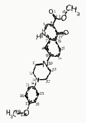 COC(=O)c1c[nH]c2cc(N3CCN(c4ccc(OC)cc4)CC3)ccc2c1=O